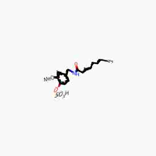 COc1cc(CNC(=O)CCCC/C=C/C(C)C)ccc1OS(=O)(=O)O